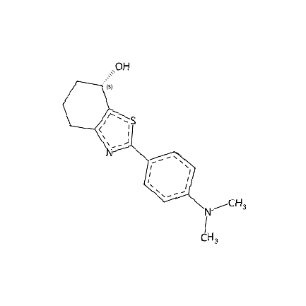 CN(C)c1ccc(-c2nc3c(s2)[C@@H](O)CCC3)cc1